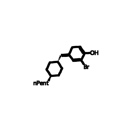 CCCCC[C@H]1CC[C@H](C=C2C=C(Br)C(O)=CC2)CC1